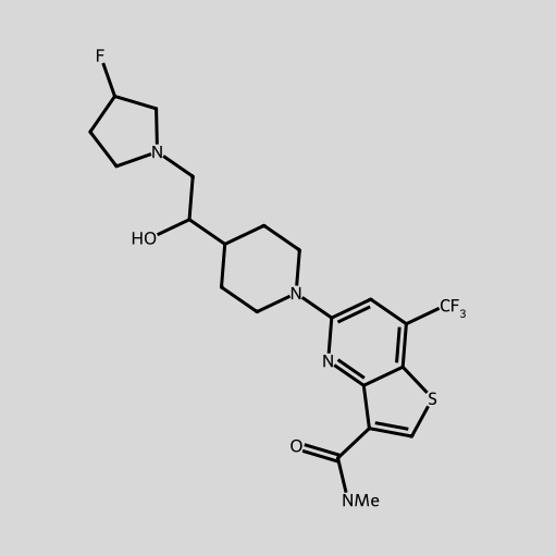 CNC(=O)c1csc2c(C(F)(F)F)cc(N3CCC(C(O)CN4CCC(F)C4)CC3)nc12